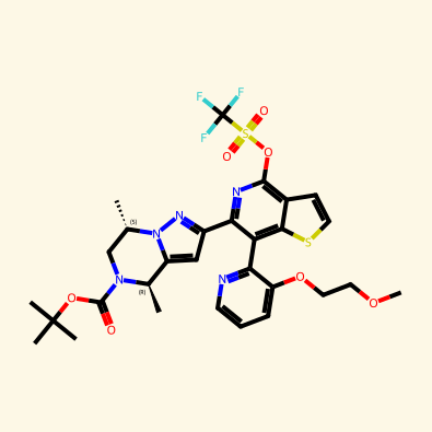 COCCOc1cccnc1-c1c(-c2cc3n(n2)[C@@H](C)CN(C(=O)OC(C)(C)C)[C@@H]3C)nc(OS(=O)(=O)C(F)(F)F)c2ccsc12